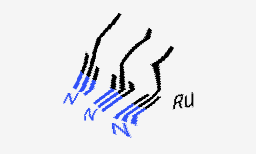 CC#N.CC#N.CC#N.[Ru]